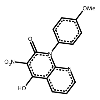 COc1ccc(-n2c(=O)c([N+](=O)[O-])c(O)c3cccnc32)cc1